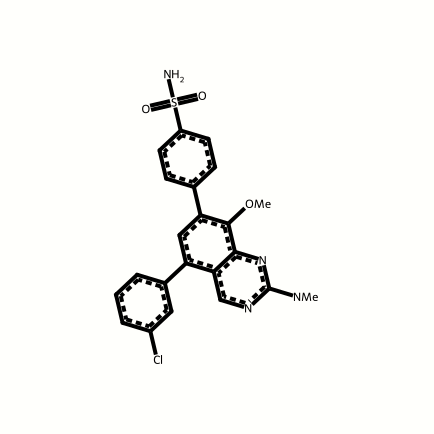 CNc1ncc2c(-c3cccc(Cl)c3)cc(-c3ccc(S(N)(=O)=O)cc3)c(OC)c2n1